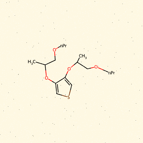 CCCOCC(C)Oc1cscc1OC(C)COCCC